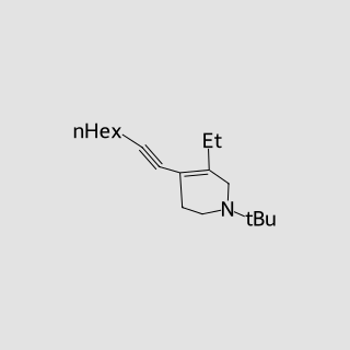 CCCCCCC#CC1=C(CC)CN(C(C)(C)C)CC1